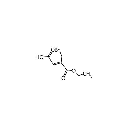 CCOC(=O)C(=CC(=O)O)CBr